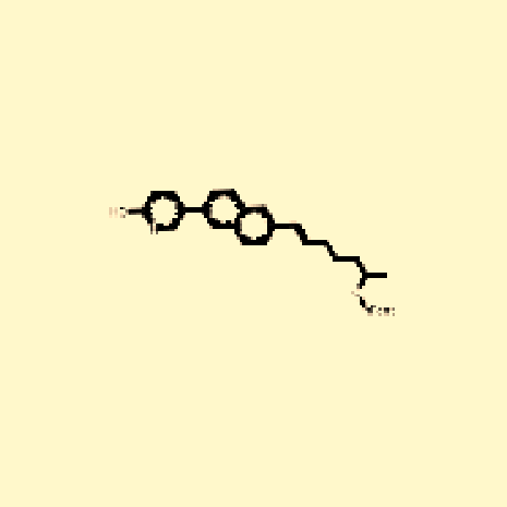 CCCCCOC(C)CCCC=Cc1ccc2cc(-c3ccc(O)nc3)ccc2c1